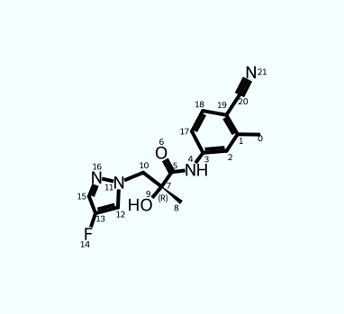 Cc1cc(NC(=O)[C@](C)(O)Cn2cc(F)cn2)ccc1C#N